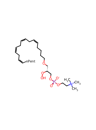 CCCCC/C=C\C/C=C\C/C=C\C/C=C\CCCCOC[C@H](COP(=O)([O-])OCC[N+](C)(C)C)OO